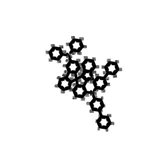 c1ccc(-c2ccc(N(c3ccc(-c4ccccc4)cc3)c3cccc4c3-c3sc5ccccc5c3C43c4ccccc4-c4cc(N(c5ccccc5)c5ccccc5)ccc43)cc2)cc1